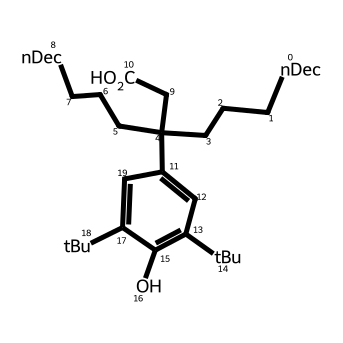 CCCCCCCCCCCCCC(CCCCCCCCCCCCC)(CC(=O)O)c1cc(C(C)(C)C)c(O)c(C(C)(C)C)c1